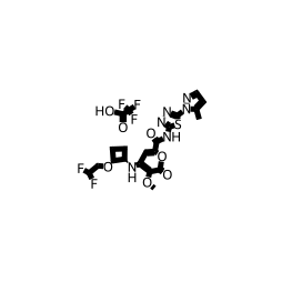 COc1c(N[C@H]2CC[C@H]2OCC(F)F)cc(C(=O)Nc2nnc(-n3nccc3C)s2)oc1=O.O=C(O)C(F)(F)F